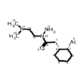 CC(=O)[C@@H]1CCCC[C@@H]1CC(=O)N(N)CCN(C)C